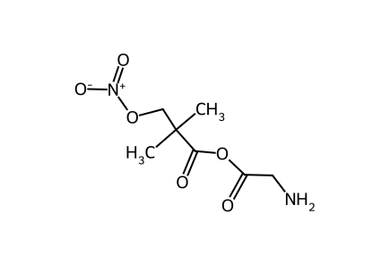 CC(C)(CO[N+](=O)[O-])C(=O)OC(=O)CN